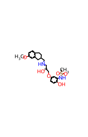 COc1ccc2c(c1)CC(CNC[C@@H](O)COc1ccc(O)c(NS(C)(=O)=O)c1)CC2